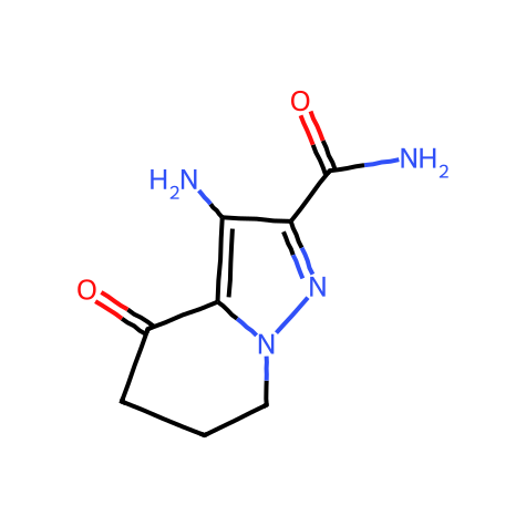 NC(=O)c1nn2c(c1N)C(=O)CCC2